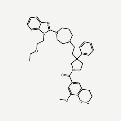 CCOCCn1c(N2CCCN(CCC3(c4ccccc4)CCN(C(=O)c4cc5c(c(OC)c4)OOCC5)C3)CC2)nc2ccccc21